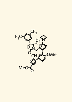 COC(=O)c1cc(-c2ccc(OC)c(-c3ccc(N4CCC4)nc3CN3C(=O)O[C@H](c4cc(C(F)(F)F)cc(C(F)(F)F)c4)[C@@H]3C)c2)c(C)s1